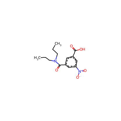 CCCN(CCC)C(=O)c1cc(C(=O)O)cc([N+](=O)[O-])c1